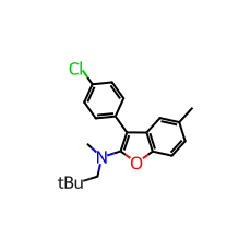 Cc1ccc2oc(N(C)CC(C)(C)C)c(-c3ccc(Cl)cc3)c2c1